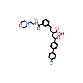 O=C(CC(CCc1cccc(C(=O)NCCN2CCOCC2)c1)C(=O)O)c1ccc(-c2ccc(Cl)cc2)cc1